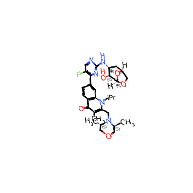 Cc1c(CN2[C@@H](C)COC[C@@H]2C)n(C(C)C)c2cc(-c3nc(N[C@@H]4C[C@H]5CO[C@H](O5)[C@H]4O)ncc3F)ccc2c1=O